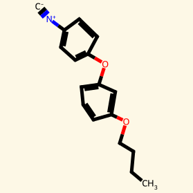 [C-]#[N+]c1ccc(Oc2cccc(OCCCC)c2)cc1